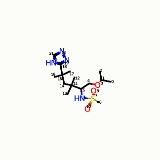 CC(C)OCC(NS(C)(=O)=O)C(C)(C)CC(C)(C)c1nnc[nH]1